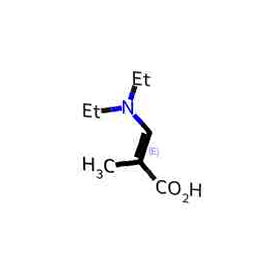 CCN(/C=C(\C)C(=O)O)CC